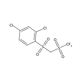 O=S(=O)(CS(=O)(=O)C(F)(F)F)c1ccc(Cl)cc1Cl